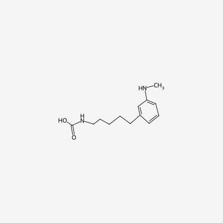 CNc1cccc(CCCCCNC(=O)O)c1